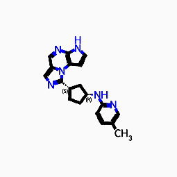 Cc1ccc(N[C@@H]2CC[C@H](c3ncc4cnc5[nH]ccc5n34)C2)nc1